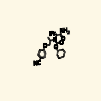 CC(C)[C@@H](C(N)=O)N(C(=O)OC1CCCCC1)C(C)COc1ccc(C#N)cc1